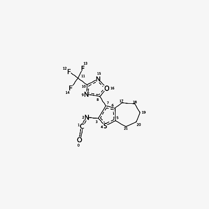 O=C=Nc1sc2c(c1-c1nc(C(F)(F)F)no1)CCCCC2